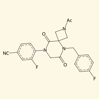 CC(=O)N1CC2(C1)C(=O)N(c1ccc(C#N)cc1F)CC(=O)N2Cc1ccc(F)cc1